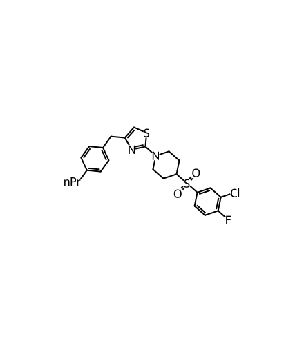 CCCc1ccc(Cc2csc(N3CCC(S(=O)(=O)c4ccc(F)c(Cl)c4)CC3)n2)cc1